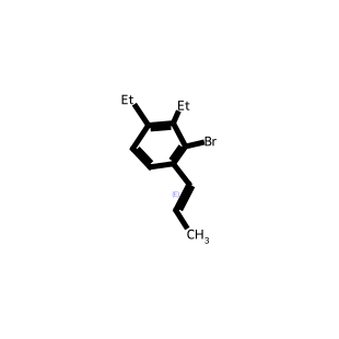 C/C=C/c1[c]cc(CC)c(CC)c1Br